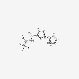 CC(N[S@@+]([O-])C(C)(C)C)c1cc(-c2ncc[nH]2)cs1